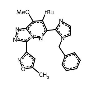 COc1c(C(C)(C)C)c(-c2nccn2Cc2ccccc2)nn2c(-c3cc(C)on3)nnc12